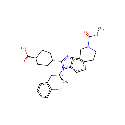 COC(=O)N1CCc2ccc3c(nc([C@H]4CC[C@H](C(=O)O)CC4)n3[C@@H](C)Cc3ccccc3Cl)c2C1